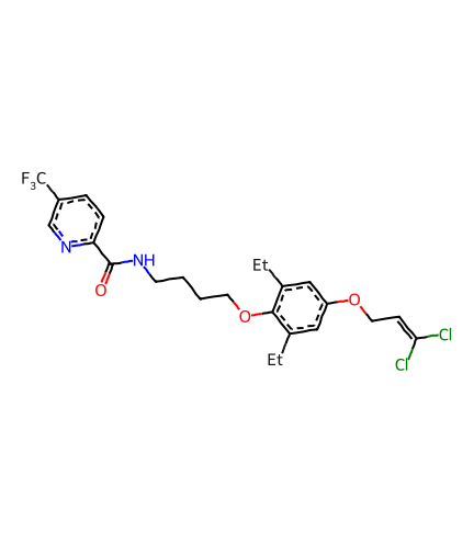 CCc1cc(OCC=C(Cl)Cl)cc(CC)c1OCCCCNC(=O)c1ccc(C(F)(F)F)cn1